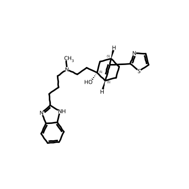 CN(CCCc1nc2ccccc2[nH]1)CC[C@@]1(O)C[C@@H]2CC[C@H]1C=C2c1nccs1